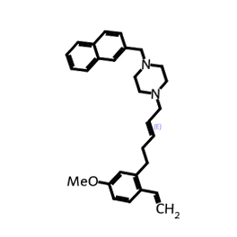 C=Cc1ccc(OC)cc1CC/C=C/CN1CCN(Cc2ccc3ccccc3c2)CC1